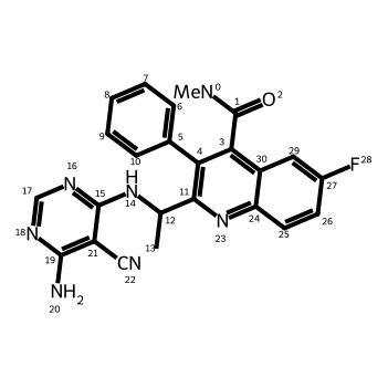 CNC(=O)c1c(-c2ccccc2)c(C(C)Nc2ncnc(N)c2C#N)nc2ccc(F)cc12